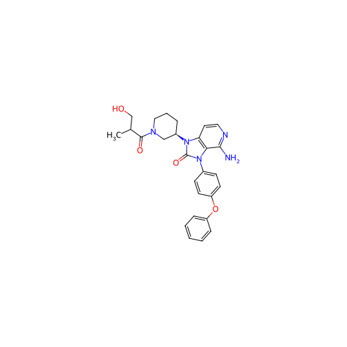 CC(CO)C(=O)N1CCC[C@@H](n2c(=O)n(-c3ccc(Oc4ccccc4)cc3)c3c(N)nccc32)C1